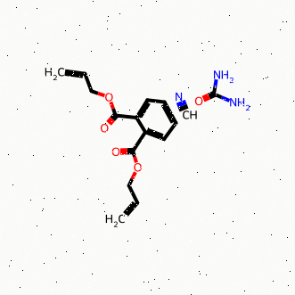 C#N.C=CCOC(=O)c1ccccc1C(=O)OCC=C.NC(N)=O